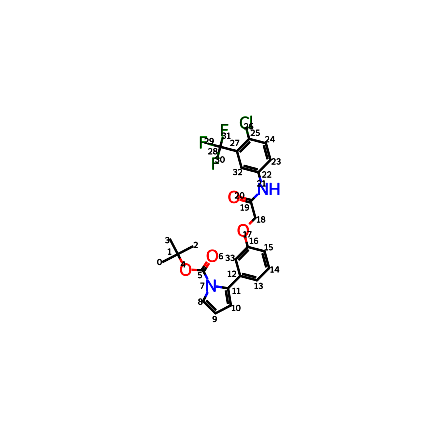 CC(C)(C)OC(=O)n1cccc1-c1cccc(OCC(=O)Nc2ccc(Cl)c(C(F)(F)F)c2)c1